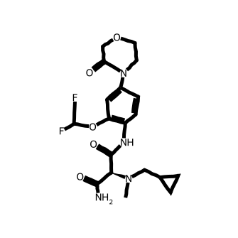 CN(CC1CC1)[C@@H](C(N)=O)C(=O)Nc1ccc(N2CCOCC2=O)cc1OC(F)F